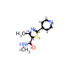 CNC(=O)c1sc(-c2ccncc2)nc1C